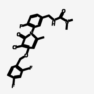 Cc1cc(OCc2ccc(F)cc2F)c(Cl)c(=O)n1-c1cc(CNC(=O)N(C)C)ccc1F